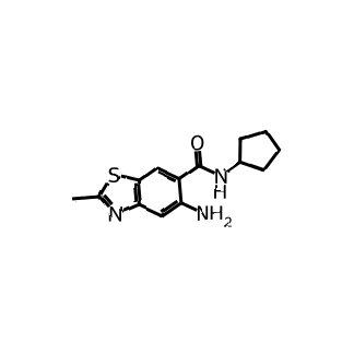 Cc1nc2cc(N)c(C(=O)NC3CCCC3)cc2s1